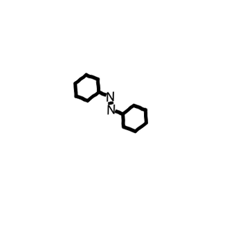 C1CCC(/N=N/C2CCCCC2)CC1